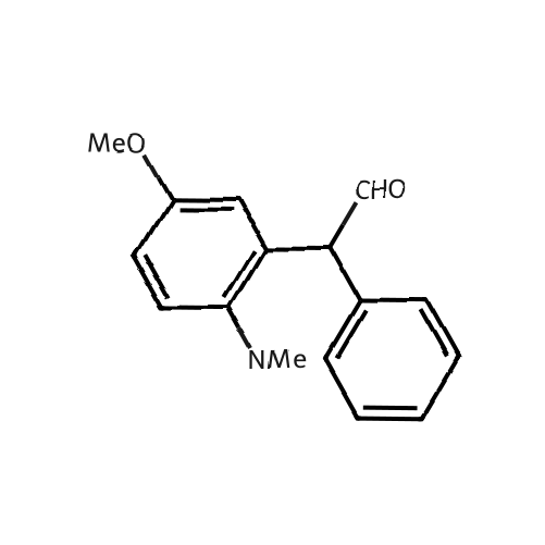 CNc1ccc(OC)cc1C(C=O)c1ccccc1